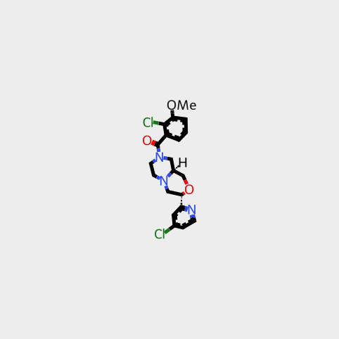 COc1cccc(C(=O)N2CCN3C[C@@H](c4cc(Cl)ccn4)OC[C@@H]3C2)c1Cl